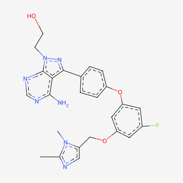 Cc1ncc(COc2cc(F)cc(Oc3ccc(-c4nn(CCO)c5ncnc(N)c45)cc3)c2)n1C